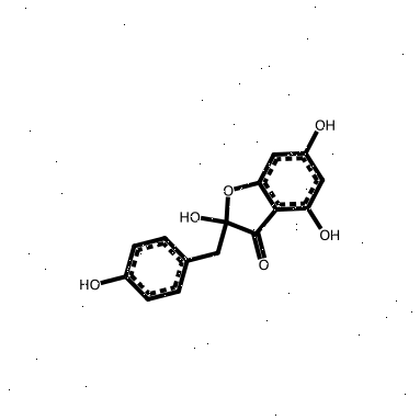 O=C1c2c(O)cc(O)cc2OC1(O)Cc1ccc(O)cc1